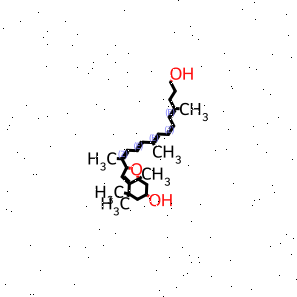 C/C(=C/C=C/C(C)=C/C=C\C=C(/C)CCCO)C1C=C2C(C)(C)CC(O)CC2(C)O1